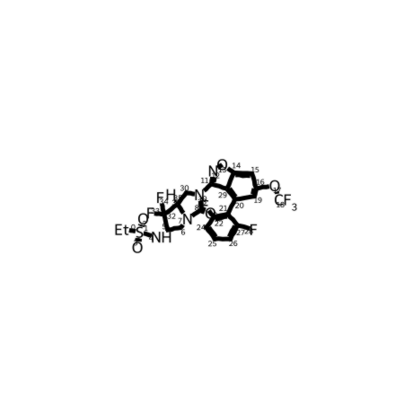 CCS(=O)(=O)N[C@@H]1CN2C(=O)N(c3noc4cc(OC(F)(F)F)cc(-c5c(F)cccc5F)c34)C[C@@H]2C1(F)F